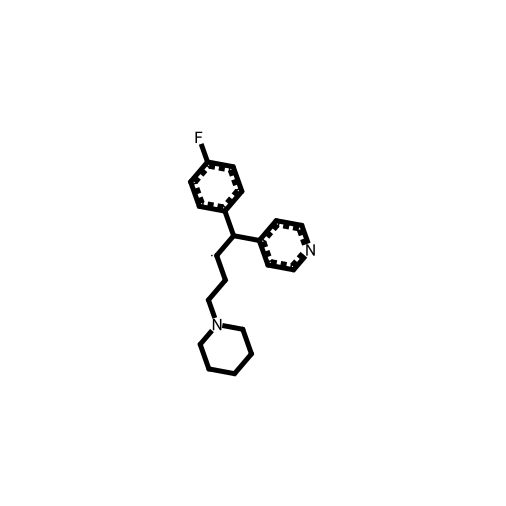 Fc1ccc(C([CH]CCN2CCCCC2)c2ccncc2)cc1